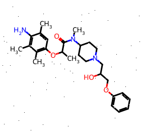 Cc1cc(OC(C)C(=O)N(C)C2CCN(CC(O)COc3ccccc3)CC2)c(C)c(C)c1N